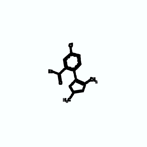 CCC(=O)c1cc(Cl)ccc1C1=C(C)C=C(C)C1